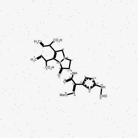 C=CC(C(=O)O)C1=C(C(C=C)C(=O)O)N2C(=O)[C@@H](NC(=O)/C(=N\OC)c3csc(NC=O)n3)CN2C1